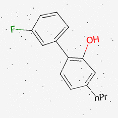 CCCc1ccc(-c2cccc(F)c2)c(O)c1